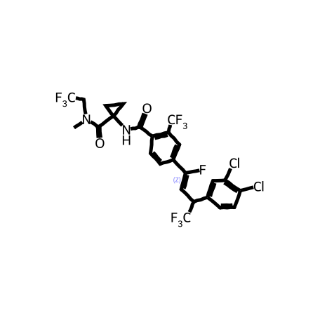 CN(CC(F)(F)F)C(=O)C1(NC(=O)c2ccc(/C(F)=C/C(c3ccc(Cl)c(Cl)c3)C(F)(F)F)cc2C(F)(F)F)CC1